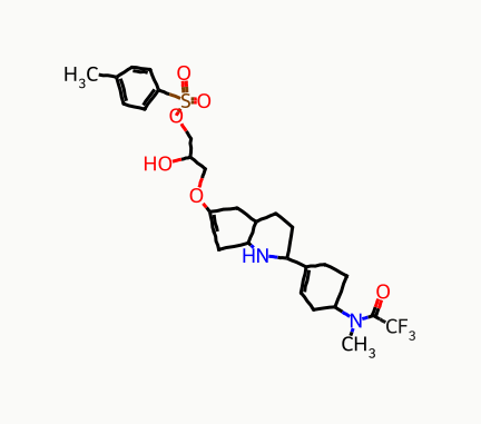 Cc1ccc(S(=O)(=O)OCC(O)COC2=CCC3NC(C4=CCC(N(C)C(=O)C(F)(F)F)CC4)CCC3C2)cc1